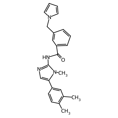 Cc1ccc(-c2cnc(NC(=O)c3cccc(Cn4cccc4)c3)n2C)cc1C